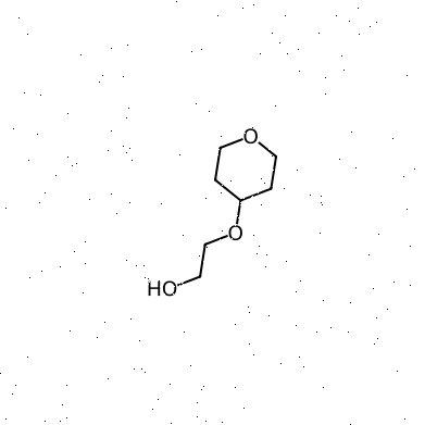 OCCOC1CCOCC1